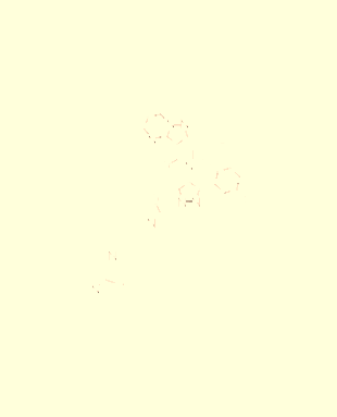 CN(C)C(=O)C1CCCN1CC1CCN(C(=O)Cn2cc(NC(=O)c3cnn4cccnc34)c(-c3cc(Cl)ccc3OC(F)F)n2)CC1